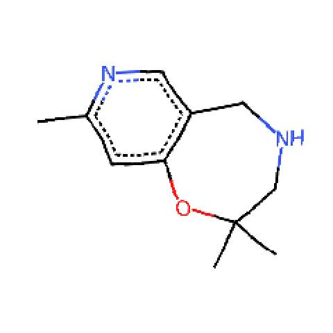 Cc1cc2c(cn1)CNCC(C)(C)O2